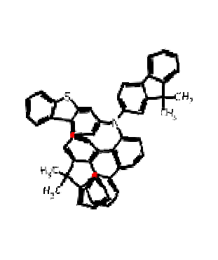 CC1(C)c2ccccc2-c2ccc(N(c3ccc4c(c3)sc3ccccc34)c3cccc(-c4ccccc4)c3-c3cccc4c3-c3ccccc3C4(C)C)cc21